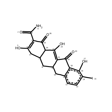 NC(=O)C1=C(O)CC2CC3Cc4ccc(I)c(O)c4C(=O)C3=C(O)C2C1=O